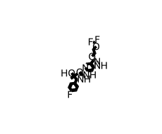 CC(C)(O)C(NC(=O)Nc1cc2[nH]nc(OCCOC(F)F)c2cn1)c1ccc(F)cc1